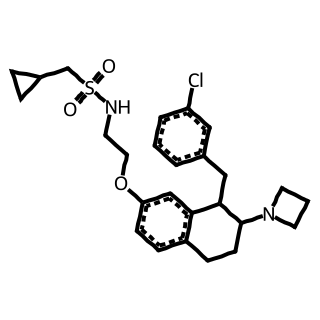 O=S(=O)(CC1CC1)NCCOc1ccc2c(c1)C(Cc1cccc(Cl)c1)C(N1CCC1)CC2